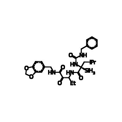 CCC(NC(=O)[C@@]([SiH3])(CC(C)C)NC(=O)NCc1ccccc1)C(=O)C(=O)NCc1ccc2c(c1)OCO2